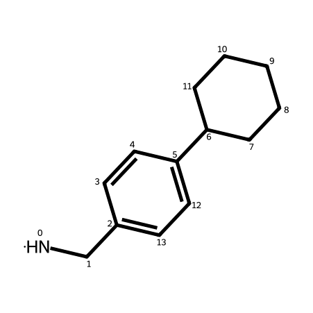 [NH]Cc1ccc(C2CCCCC2)cc1